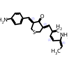 C=C(/C=C\C(N)=C/C)/C=C1\CSC/C(=C\c2ccc(N)cc2)C1=O